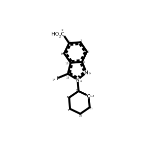 O=C(O)c1ccc2nn(C3CCCCO3)c(I)c2c1